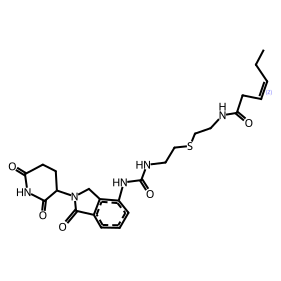 CC/C=C\CC(=O)NCCSCCNC(=O)Nc1cccc2c1CN(C1CCC(=O)NC1=O)C2=O